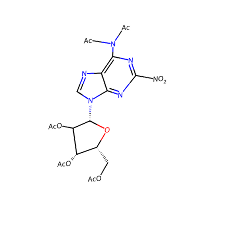 CC(=O)OC[C@H]1O[C@@H](n2cnc3c(N(C(C)=O)C(C)=O)nc([N+](=O)[O-])nc32)C(OC(C)=O)[C@H]1OC(C)=O